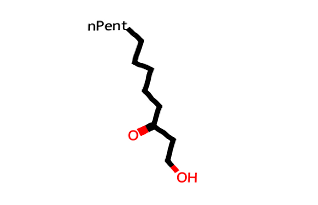 CCCCCCCCCCC(=O)CCO